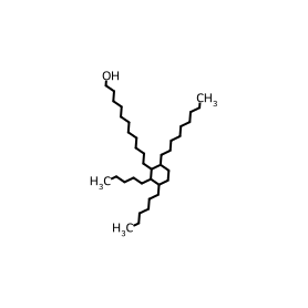 CCCCCCCCCC1CCC(CCCCCC)C(CCCCC)C1CCCCCCCCCCCO